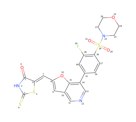 O=C1NC(=S)S/C1=C\c1cc2cncc(-c3ccc(S(=O)(=O)N4CCOCC4)c(F)c3)c2o1